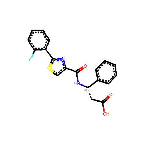 O=C(O)C[C@H](NC(=O)c1csc(-c2ccccc2F)n1)c1ccccc1